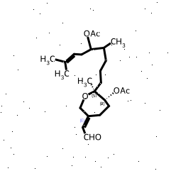 CC(=O)OC(CC=C(C)C)C(C)CCC[C@]1(C)OC/C(=C/C=O)CC[C@H]1OC(C)=O